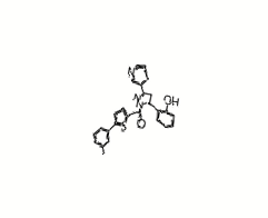 Cc1cccc(-c2ccc(C(=O)N3N=C(c4cccnc4)CC3c3ccccc3O)s2)c1